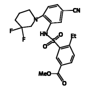 CCc1ccc(C(=O)OC)cc1S(=O)(=O)Nc1cc(C#N)ccc1N1CCCC(F)(F)C1